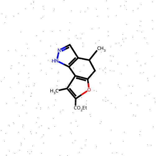 CCOC(=O)c1oc2c(c1C)-c1[nH]ncc1C(C)C2